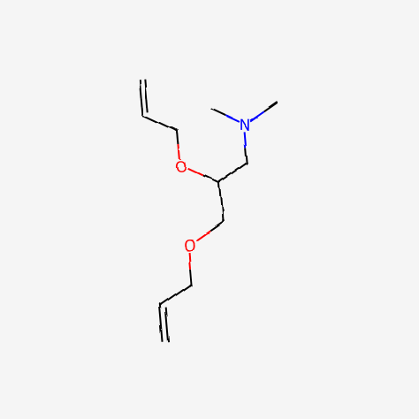 C=CCOCC(CN(C)C)OCC=C